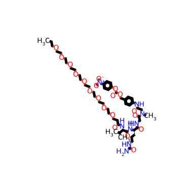 CCCOCCOCCOCCOCCOCCOCCOCCOCCOCCC(=O)N[C@H](C(=O)N[C@@H](CCCNC(N)=O)C(=O)NCC(=O)N(C)CC(=O)Nc1ccc(COC(=O)Oc2ccc([N+](=O)[O-])cc2)cc1)C(C)C